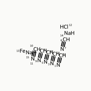 C#N.C#N.C#N.C#N.C#N.C#N.Cl.[Fe].[NaH].[NaH]